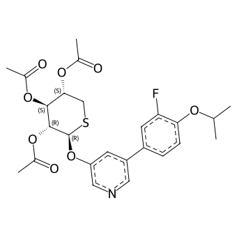 CC(=O)O[C@@H]1[C@@H](OC(C)=O)[C@H](OC(C)=O)CS[C@H]1Oc1cncc(-c2ccc(OC(C)C)c(F)c2)c1